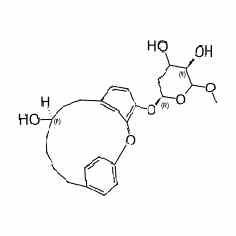 COC1O[C@@H](Oc2ccc3cc2Oc2ccc(cc2)CCCC[C@@H](O)CC3)CC(O)[C@H]1O